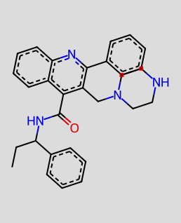 CCC(NC(=O)c1c(CN2CCNCC2)c(-c2ccccc2)nc2ccccc12)c1ccccc1